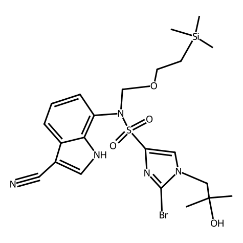 CC(C)(O)Cn1cc(S(=O)(=O)N(COCC[Si](C)(C)C)c2cccc3c(C#N)c[nH]c23)nc1Br